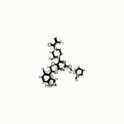 C=C(F)C(=O)N1CCN(c2nc(OC[C@@H]3CCCN3C)nc3c2OCC(c2c(C)ccc4[nH]ncc24)O3)[C@@H](C)C1